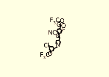 N#Cc1cc(C(=O)OC(=O)C(F)(F)F)c(F)cc1OCC1CCN(Cc2cc(Cl)cc(OC(F)(F)F)c2)CC1